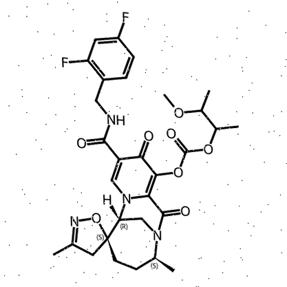 COC(C)C(C)OC(=O)Oc1c2n(cc(C(=O)NCc3ccc(F)cc3F)c1=O)[C@@H]1CN(C2=O)[C@@H](C)CC[C@]12CC(C)=NO2